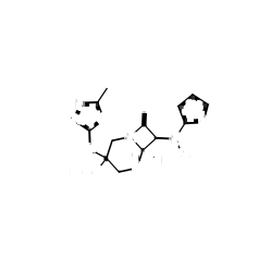 CC(=O)N(c1cccs1)C1C(=O)N2CC(Sc3nnc(C)s3)(C(=O)O)CS[C@H]12